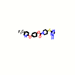 O=C(Oc1ccc(Oc2ccc(C(F)(F)F)cn2)cc1)N1CCC(Sc2nc[nH]n2)CC1